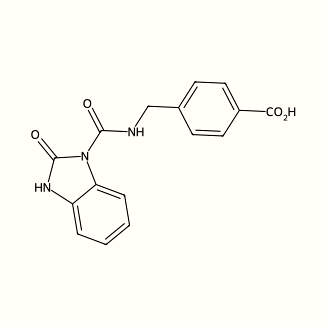 O=C(O)c1ccc(CNC(=O)n2c(=O)[nH]c3ccccc32)cc1